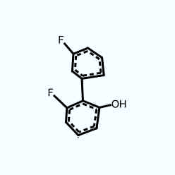 Oc1c[c]cc(F)c1-c1cccc(F)c1